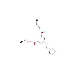 C#CCCOC(=O)CCN(CCC(=O)OCCC#C)CCN1CCCC1